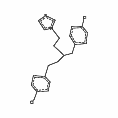 Clc1ccc(CCC(CCn2ccnc2)Cc2ccc(Cl)cc2)cc1